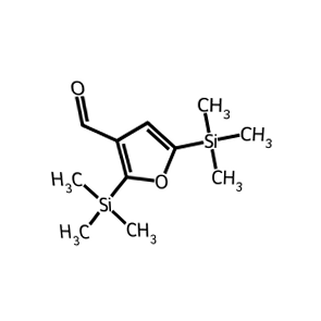 C[Si](C)(C)c1cc(C=O)c([Si](C)(C)C)o1